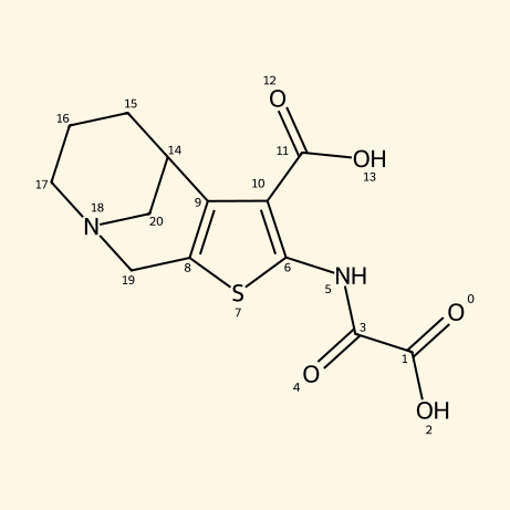 O=C(O)C(=O)Nc1sc2c(c1C(=O)O)C1CCCN(C2)C1